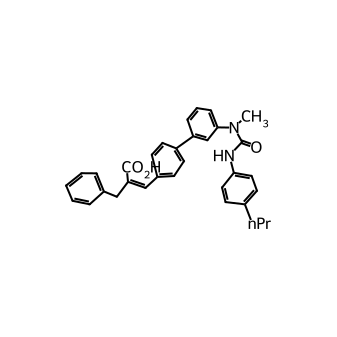 CCCc1ccc(NC(=O)N(C)c2cccc(-c3ccc(/C=C(/Cc4ccccc4)C(=O)O)cc3)c2)cc1